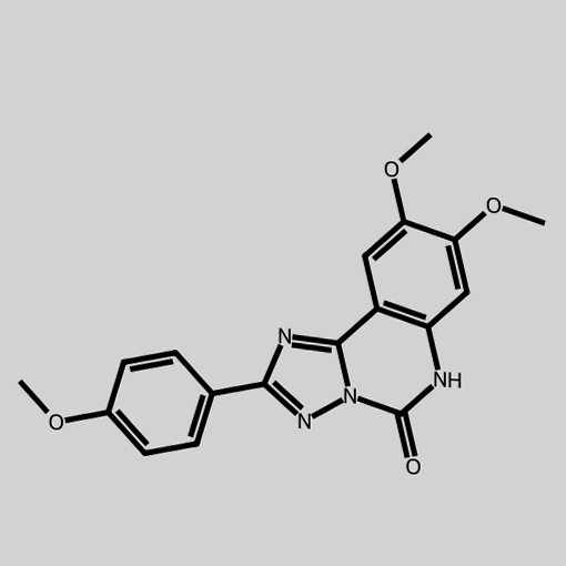 COc1ccc(-c2nc3c4cc(OC)c(OC)cc4[nH]c(=O)n3n2)cc1